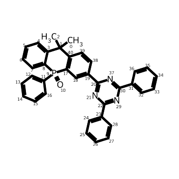 CC1(C)c2ccccc2P(=O)(c2ccccc2)c2cc(-c3nc(-c4ccccc4)nc(-c4ccccc4)n3)ccc21